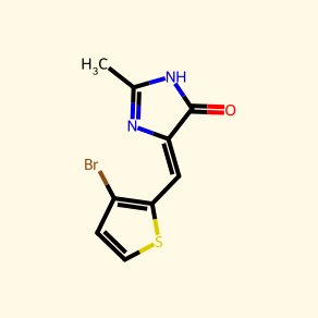 CC1=N/C(=C\c2sccc2Br)C(=O)N1